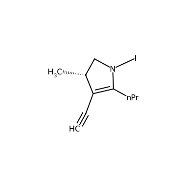 C#CC1=C(CCC)N(I)C[C@H]1C